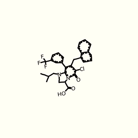 CC(C)CN1CC(C(=O)O)n2c1c(-c1cccc(C(F)(F)F)c1)c(Cc1cccc3ccccc13)c(Cl)c2=O